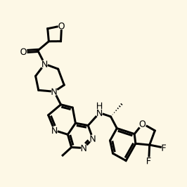 Cc1nnc(N[C@H](C)c2cccc3c2OCC3(F)F)c2cc(N3CCN(C(=O)C4COC4)CC3)cnc12